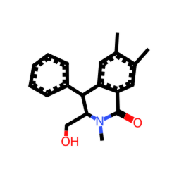 Cc1cc2c(cc1C)C(c1ccccc1)C(CO)N(C)C2=O